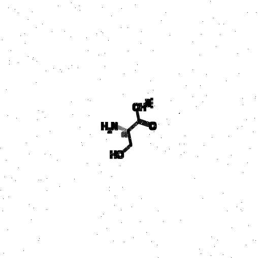 N[C@@H](CO)C(=O)O.[B]